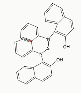 Oc1ccc2ccccc2c1N(SN(c1ccccc1)c1c(O)ccc2ccccc12)c1ccccc1